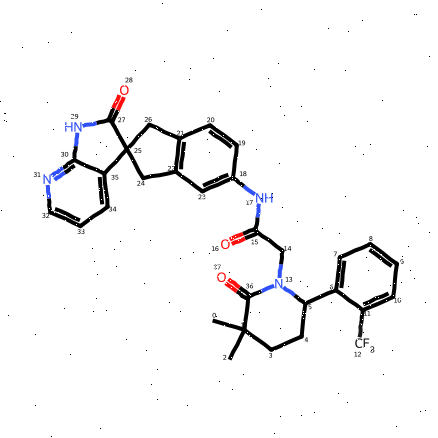 CC1(C)CCC(c2ccccc2C(F)(F)F)N(CC(=O)Nc2ccc3c(c2)CC2(C3)C(=O)Nc3ncccc32)C1=O